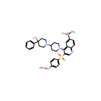 CCCCCCCCCCOc1ccc(S(=O)(=O)c2cnc3ccc([SiH](C)O)cc3c2N2CCC(N3CCC(O)(c4ccccc4)CC3)CC2)cc1